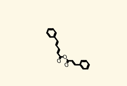 O=C(C=C/C=C/c1ccccc1)OC(=O)/C=C/c1ccccc1